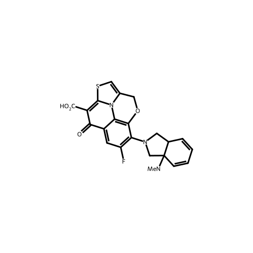 CNC12C=CC=CC1CN(c1c(F)cc3c(=O)c(C(=O)O)c4scc5n4c3c1OC5)C2